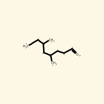 CCC(C)CC(C)CCC=O